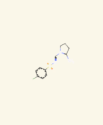 NC1CCCN1C=NS(=O)(=O)c1ccc(Cl)cc1